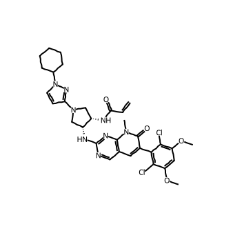 C=CC(=O)N[C@H]1CN(c2ccn(C3CCCCC3)n2)C[C@H]1Nc1ncc2cc(-c3c(Cl)c(OC)cc(OC)c3Cl)c(=O)n(C)c2n1